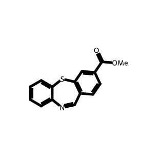 COC(=O)c1ccc2c(c1)Sc1ccccc1N=C2